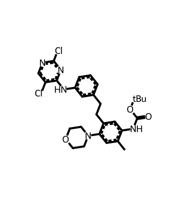 Cc1cc(N2CCOCC2)c(CCc2cccc(Nc3nc(Cl)ncc3Cl)c2)cc1NC(=O)OC(C)(C)C